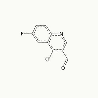 O=Cc1cnc2ccc(F)cc2c1Cl